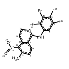 Cc1ccc2c(Nc3cc(F)c(F)c(F)c3F)nccc2c1[N+](=O)[O-]